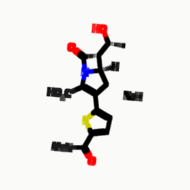 CNC(=O)c1ccc(C2=C(C(=O)O)N3C(=O)[C@H]([C@@H](C)O)[C@H]3C2)s1.[NaH]